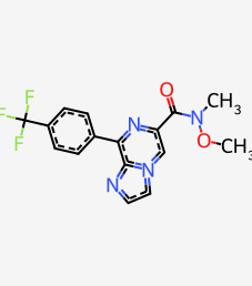 CON(C)C(=O)c1cn2ccnc2c(-c2ccc(C(F)(F)F)cc2)n1